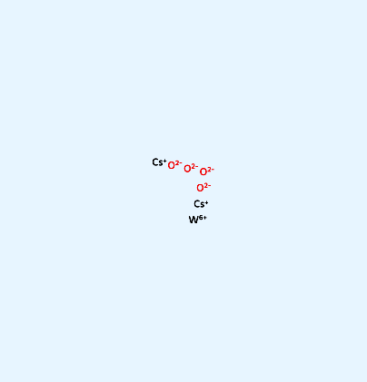 [Cs+].[Cs+].[O-2].[O-2].[O-2].[O-2].[W+6]